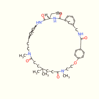 CN1CCOc2ccc(cc2)C(=O)NCc2cccc(c2)C(=O)N[C@@H](CC(C)(C)C)C(=O)Nc2ccc(cc2)CCN(C)C(=O)CCC(C)(C)CCC1=O